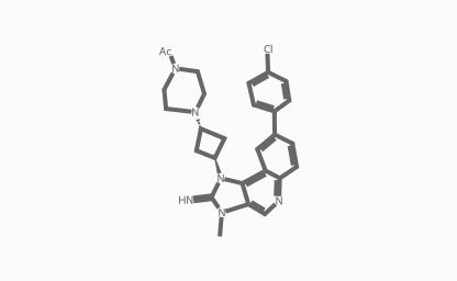 CC(=O)N1CCN([C@H]2C[C@H](n3c(=N)n(C)c4cnc5ccc(-c6ccc(Cl)cc6)cc5c43)C2)CC1